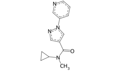 CN(C(=O)c1cnn(-c2cccnc2)c1)C1CC1